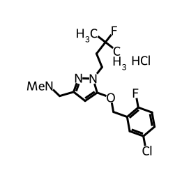 CNCc1cc(OCc2cc(Cl)ccc2F)n(CCC(C)(C)F)n1.Cl